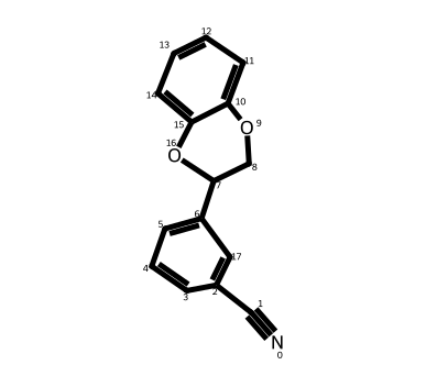 N#Cc1cccc(C2COc3ccccc3O2)c1